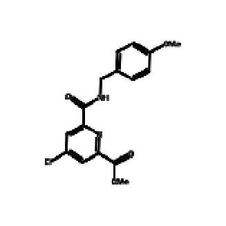 COC(=O)c1cc(Cl)cc(C(=O)NCc2ccc(OC)cc2)n1